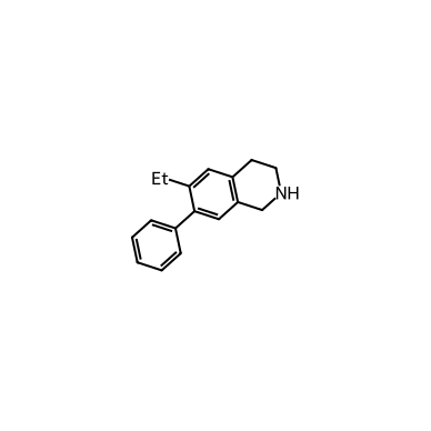 CCc1cc2c(cc1-c1ccccc1)CNCC2